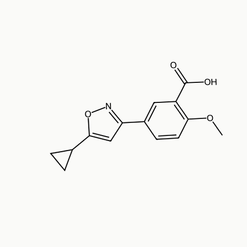 COc1ccc(-c2cc(C3CC3)on2)cc1C(=O)O